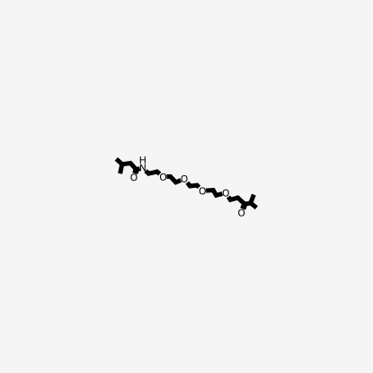 CC(C)CC(=O)NCCOCCOCCOCCOCCC(=O)C(C)C